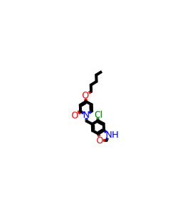 CCCCCOc1ccn(Cc2cc3c(cc2Cl)NCO3)c(=O)c1